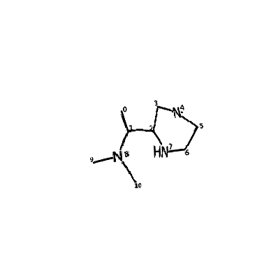 CC(C1C[N]CCN1)N(C)C